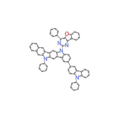 c1ccc(-c2nc(-n3c4ccc(-c5ccc6c(c5)c5ccccc5n6-c5ccccc5)cc4c4cc5c(cc43)c3cc4ccccc4cc3n5-c3ccccc3)nc3c2oc2ccccc23)cc1